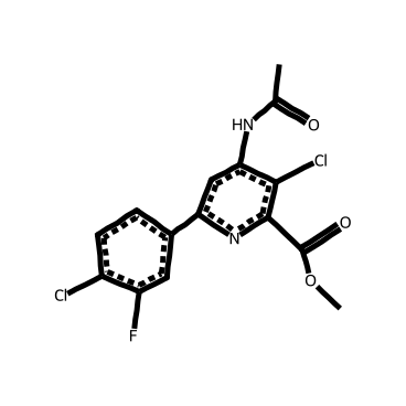 COC(=O)c1nc(-c2ccc(Cl)c(F)c2)cc(NC(C)=O)c1Cl